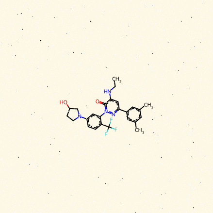 CCNc1cc(-c2cc(C)cc(C)c2)nn(-c2cc(N3CCC(O)C3)ccc2C(F)(F)F)c1=O